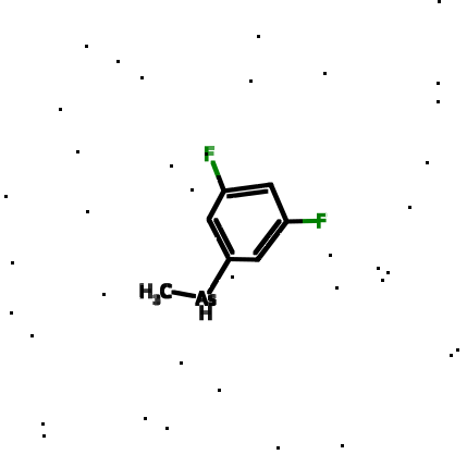 C[AsH]c1cc(F)cc(F)c1